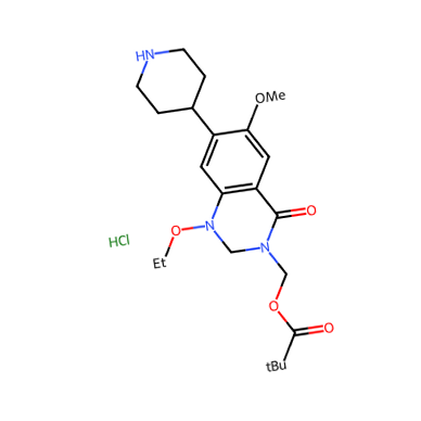 CCON1CN(COC(=O)C(C)(C)C)C(=O)c2cc(OC)c(C3CCNCC3)cc21.Cl